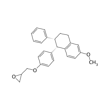 COc1ccc2c(c1)CC[C@@H](c1ccccc1)[C@H]2c1ccc(OCC2CO2)cc1